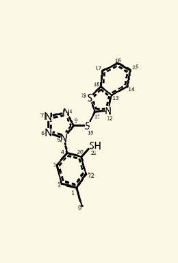 Cc1ccc(-n2nnnc2Sc2nc3ccccc3s2)c(S)c1